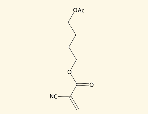 C=C(C#N)C(=O)OCCCCOC(C)=O